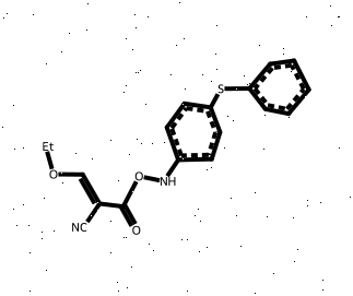 CCOC=C(C#N)C(=O)ONc1ccc(Sc2ccccc2)cc1